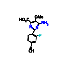 C#Cc1ccc(-c2nc(N)c(OC)c(C(=O)O)n2)c(F)c1